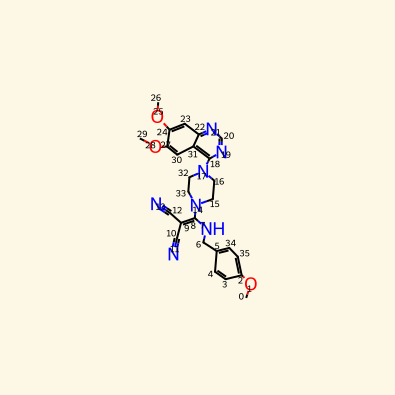 COc1ccc(CNC(=C(C#N)C#N)N2CCN(c3ncnc4cc(OC)c(OC)cc34)CC2)cc1